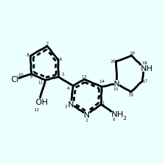 Nc1nnc(-c2cccc(Cl)c2O)cc1N1CCNCC1